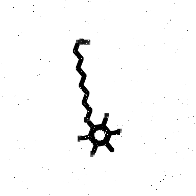 CCCCCCCCCCCCCCCCCCOc1c(F)c(F)c(C)c(F)c1F